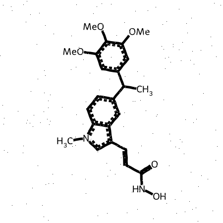 COc1cc(C(C)c2ccc3c(c2)c(/C=C/C(=O)NO)cn3C)cc(OC)c1OC